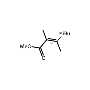 CC[C@@H](C)/C(C)=C(\C)C(=O)OC